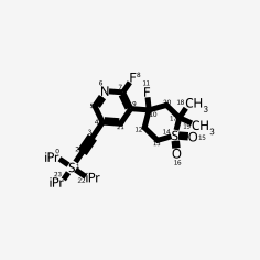 CC(C)S(C#Cc1cnc(F)c(C2(F)CCS(=O)(=O)C(C)(C)C2)c1)(C(C)C)C(C)C